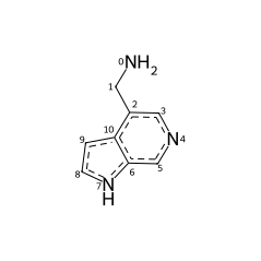 NCc1cncc2[nH]ccc12